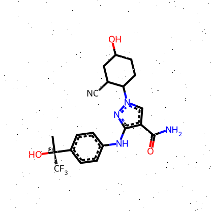 C[C@@](O)(c1ccc(Nc2nn(C3CCC(O)CC3C#N)cc2C(N)=O)cc1)C(F)(F)F